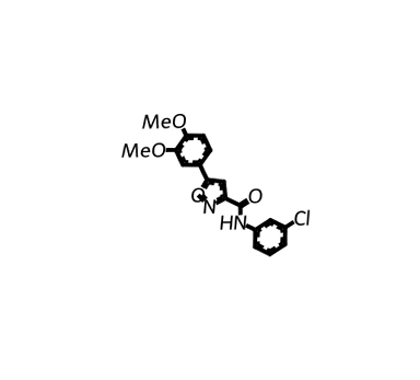 COc1ccc(-c2cc(C(=O)Nc3cccc(Cl)c3)no2)cc1OC